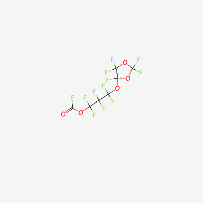 O=C(F)OC(F)(F)C(F)(F)C(F)(F)OC1(F)OC(F)(F)OC1(F)F